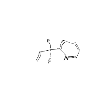 C=CC(F)(F)c1ccccn1